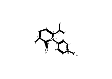 Cc1ccc(C(C)C)n(-c2ccc(F)cc2)c1=O